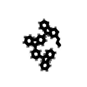 C=CCc1ccc2c3ccccc3n(-c3ccc4c(c3)c3ccccc3n4-c3cccc(-n4c5ccccc5c5ccccc54)c3)c2c1